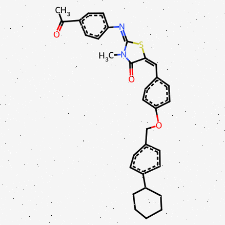 CC(=O)c1ccc(N=C2SC(=Cc3ccc(OCc4ccc(C5CCCCC5)cc4)cc3)C(=O)N2C)cc1